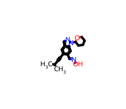 CC(C)C#Cc1cc2cnn(C3CCCCO3)c2cc1/C=N/O